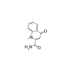 Cn1c(C(N)=O)cc(=O)c2ccccc21